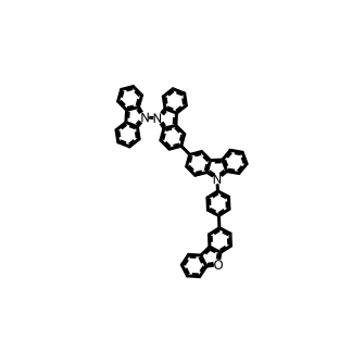 c1ccc2c(c1)oc1ccc(-c3ccc(-n4c5ccccc5c5cc(-c6ccc7c(c6)c6ccccc6n7-n6c7ccccc7c7ccccc76)ccc54)cc3)cc12